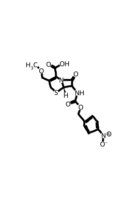 COCC1=C(C(=O)O)N2C(=O)C(NC(=O)OCc3ccc([N+](=O)[O-])cc3)[C@@H]2SC1